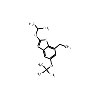 CCc1cc(OC(C)(C)C)cc2nc(OC(C)C)sc12